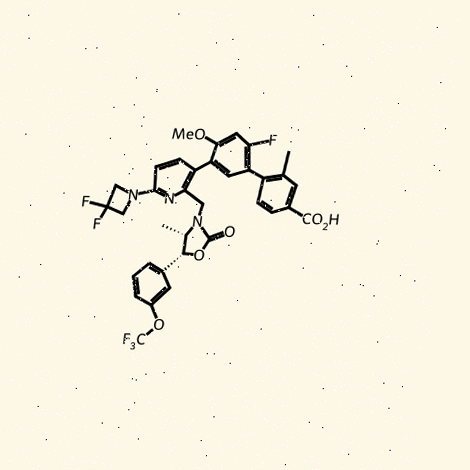 COc1cc(F)c(-c2ccc(C(=O)O)cc2C)cc1-c1ccc(N2CC(F)(F)C2)nc1CN1C(=O)O[C@H](c2cccc(OC(F)(F)F)c2)[C@@H]1C